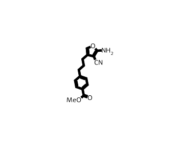 COC(=O)c1ccc(CCCc2coc(N)c2C#N)cc1